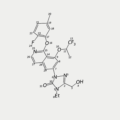 CCn1c(CO)nn(-c2cc(OC(C)C(F)(F)F)c3c(Oc4cc(C)ccc4F)nccc3c2)c1=O